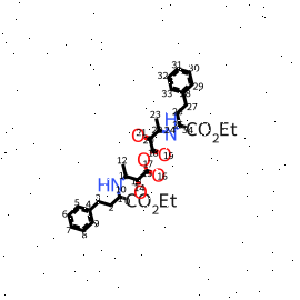 CCOC(=O)C(CCc1ccccc1)NC(C)C(=O)C(=O)OC(=O)C(=O)C(C)NC(CCc1ccccc1)C(=O)OCC